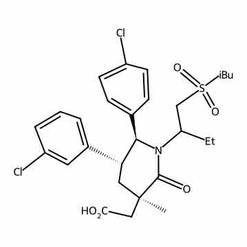 CCC(CS(=O)(=O)C(C)CC)N1C(=O)[C@@](C)(CC(=O)O)C[C@H](c2cccc(Cl)c2)[C@H]1c1ccc(Cl)cc1